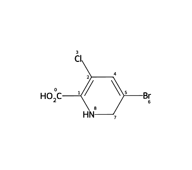 O=C(O)C1=C(Cl)C=C(Br)CN1